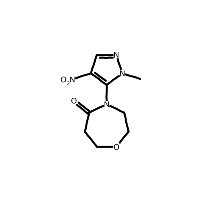 Cn1ncc([N+](=O)[O-])c1N1CCOCCC1=O